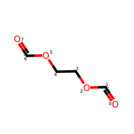 O=[C]OCCO[C]=O